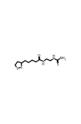 NC(=S)NCCNC(=O)CCCCC1CCSS1